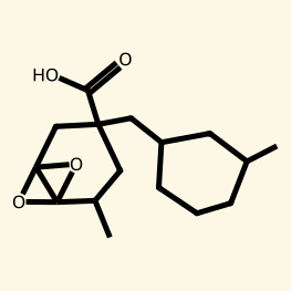 CC1CCCC(CC2(C(=O)O)CC(C)C34OC3(C2)O4)C1